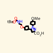 COc1ccc(-n2nc(C(=O)O)cc2-c2ccc(OCCNC(=O)OC(C)(C)C)cc2)cc1